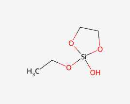 CCO[Si]1(O)OCCO1